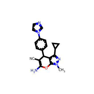 Cn1nc(C2CC2)c2c1OC(N)=C(C#N)C2c1ccc(-n2ccnc2)cc1